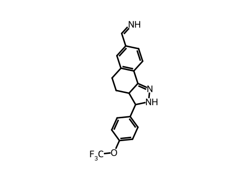 N=Cc1ccc2c(c1)CCC1C2=NNC1c1ccc(OC(F)(F)F)cc1